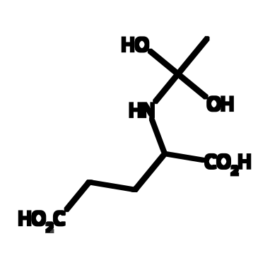 CC(O)(O)NC(CCC(=O)O)C(=O)O